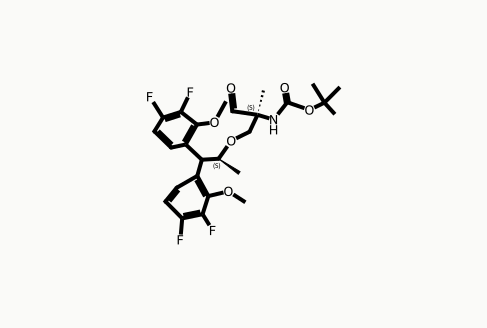 COc1c(C(c2ccc(F)c(F)c2OC)[C@H](C)OC[C@@](C)(C=O)NC(=O)OC(C)(C)C)ccc(F)c1F